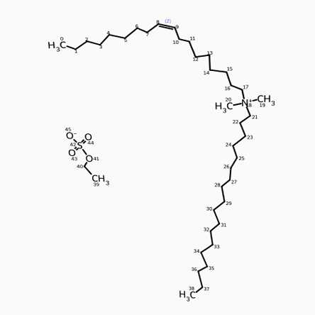 CCCCCCCC/C=C\CCCCCCCC[N+](C)(C)CCCCCCCCCCCCCCCCCC.CCOS(=O)(=O)[O-]